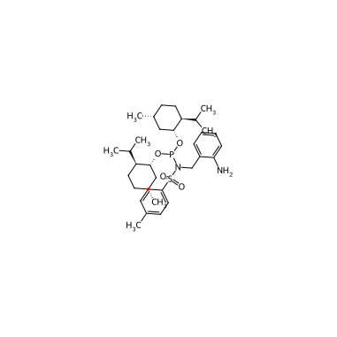 Cc1ccc(S(=O)(=O)N(Cc2ccccc2N)P(O[C@@H]2C[C@H](C)CC[C@H]2C(C)C)O[C@@H]2C[C@H](C)CC[C@H]2C(C)C)cc1